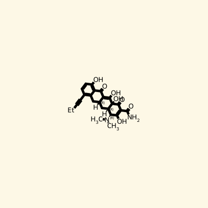 CCC#Cc1ccc(O)c2c1C[C@H]1C[C@@H]3[C@@H](N(C)C)C(O)=C(C(N)=O)C(=O)[C@@]3(O)C(O)=C1C2=O